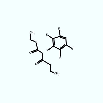 CCCC(=O)CC(=O)OCC.Fc1cc(F)c(F)c(F)c1F